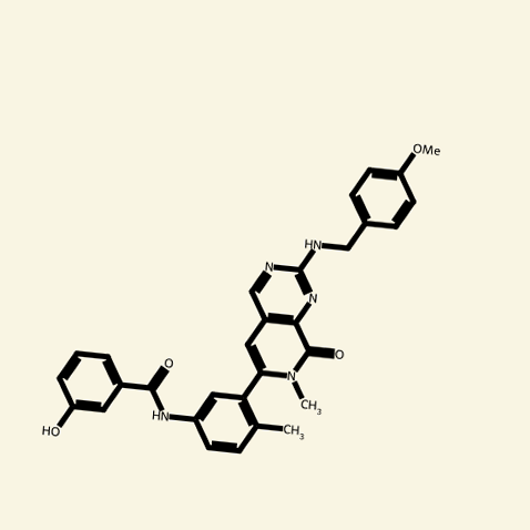 COc1ccc(CNc2ncc3cc(-c4cc(NC(=O)c5cccc(O)c5)ccc4C)n(C)c(=O)c3n2)cc1